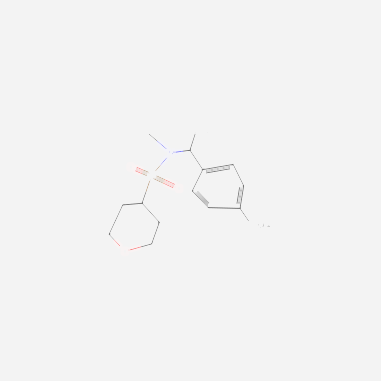 COc1ccc(C(N(C)S(=O)(=O)C2CCOCC2)C(F)(F)F)cc1